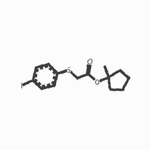 CC1(OC(=O)CSc2ccc(I)cc2)CCCC1